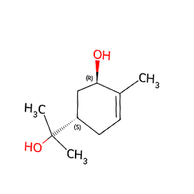 CC1=CC[C@H](C(C)(C)O)C[C@H]1O